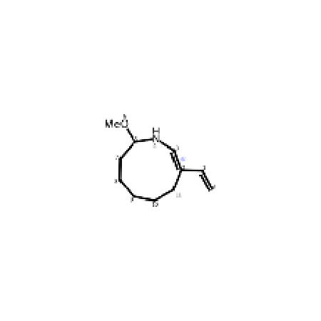 C=C/C1=C/NC(OC)CCCCC1